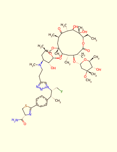 CC[C@H]1OC(=O)[C@H](C)[C@@H](O[C@H]2C[C@@](C)(OC)[C@@H](O)[C@H](C)O2)[C@H](C)[C@@H](O[C@@H]2O[C@H](C)C[C@H](N(C)CCc3cn([C@H](CF)[C@H](C)c4ccc(C5=N[C@H](C(N)=O)CS5)cc4)nn3)[C@H]2O)[C@](C)(OC)C[C@@H](C)C(=O)[C@H](C)[C@@H](O)[C@]1(C)O